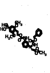 COc1cc(B(O)O)cc(OC)c1CCOC(=O)Nc1cccc([C@@H](CC2OC(C)O2)NC(=O)OCc2ccccc2)c1